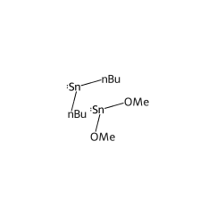 CCC[CH2][Sn][CH2]CCC.C[O][Sn][O]C